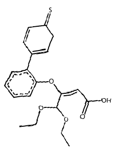 CCOC(OCC)C(=CC(=O)O)Oc1ccccc1C1=CCC(=S)C=C1